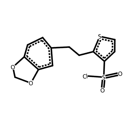 O=S(=O)(Cl)c1ccsc1CCc1ccc2c(c1)OCO2